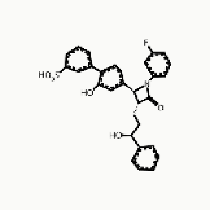 O=C1[C@H](CC[C@H](O)c2ccccc2)[C@@H](c2ccc(-c3cccc(S(=O)(=O)O)c3)c(O)c2)N1c1cccc(F)c1